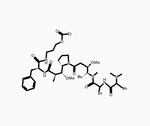 CCC(=O)OCCCNC(=O)[C@H](Cc1ccccc1)NC(=O)[C@H](C)[C@@H](OC)[C@@H]1CCCN1C(=O)C[C@@H](OC)[C@H]([C@@H](C)CC)N(C)C(=O)C(NC(=O)C(C(C)C)N(C)C)C(C)C